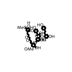 COc1cc(/C=C/C(=O)CC(=O)/C=C/c2ccc(O)c(OC)c2)ccc1O.O=c1c(O)c(-c2ccc(O)c(O)c2)oc2cc(O)cc(O)c12.Oc1ccc(/C=C/c2cc(O)cc(O)c2)cc1